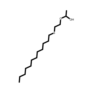 CCCCCCCCCCCCSCCOC(C)O